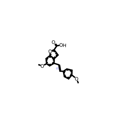 COc1ccc(/C=C/c2cc(OC)cc3oc(C(=O)O)cc23)cc1